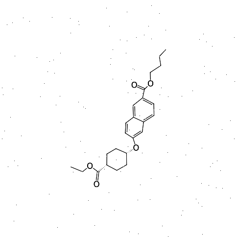 CCCCOC(=O)c1ccc2cc(O[C@H]3CC[C@@H](C(=O)OCC)CC3)ccc2c1